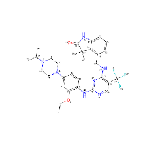 CCOc1cc(N2CCN(C(C)C)CC2)ccc1Nc1ncc(C(F)(F)F)c(NCc2cccc3c2C(C)(C)C(=O)N3)n1